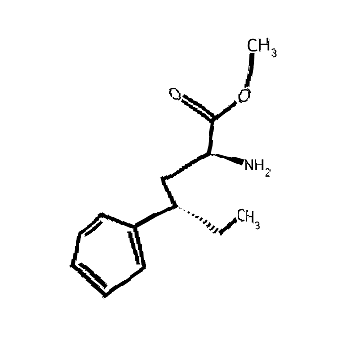 CC[C@@H](C[C@H](N)C(=O)OC)c1ccccc1